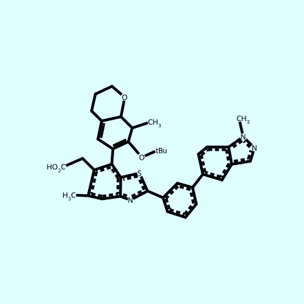 Cc1cc2nc(-c3cccc(-c4ccc5c(cnn5C)c4)c3)sc2c(C2=C(OC(C)(C)C)C(C)C3OCCCC3=C2)c1CC(=O)O